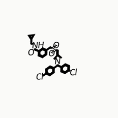 O=C(NCC1CC1)c1cccc(CS(=O)(=O)C=C2CN(C(c3ccc(Cl)cc3)c3ccc(Cl)cc3)C2)c1